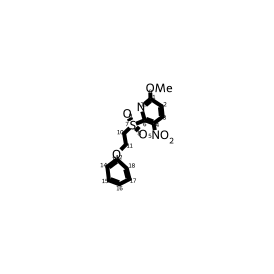 COc1ccc([N+](=O)[O-])c(S(=O)(=O)CCOc2ccccc2)n1